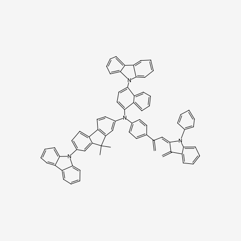 C=C(/C=c1\c(=C)c2ccccc2n1-c1ccccc1)c1ccc(N(c2ccc3c(c2)C(C)(C)c2cc(-n4c5ccccc5c5ccccc54)ccc2-3)c2ccc(-n3c4ccccc4c4ccccc43)c3ccccc23)cc1